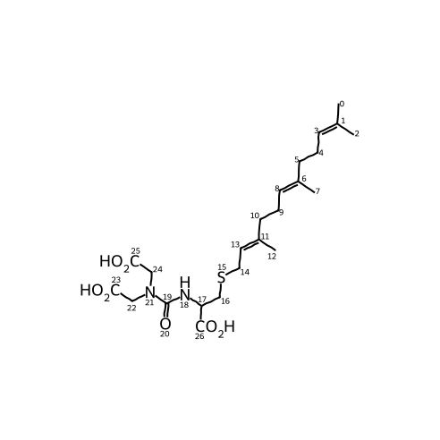 CC(C)=CCC/C(C)=C/CC/C(C)=C/CSCC(NC(=O)N(CC(=O)O)CC(=O)O)C(=O)O